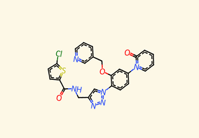 O=C(NCc1cn(-c2ccc(-n3ccccc3=O)cc2OCc2cccnc2)nn1)c1ccc(Cl)s1